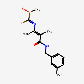 CNC(/N=C(\S)[S+](C)[O-])=C(/NC)C(=O)NCc1cccc(OC)c1